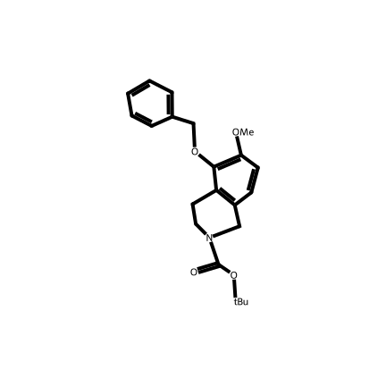 COc1ccc2c(c1OCc1ccccc1)CCN(C(=O)OC(C)(C)C)C2